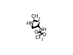 C[C@H]1NCC(NS(=O)(=O)C(F)(F)F)S1